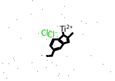 CCc1ccc2c(c1)C=C(C)[CH]2[Ti+2].[Cl-].[Cl-]